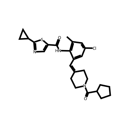 Cc1cc(Cl)cc(C=C2CCN(C(=O)C3CCCC3)CC2)c1NC(=O)c1cnc(C2CC2)s1